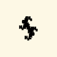 CCOC(=O)c1ccc(SSc2ccc(C(=O)OCC)cc2N)c(N)c1